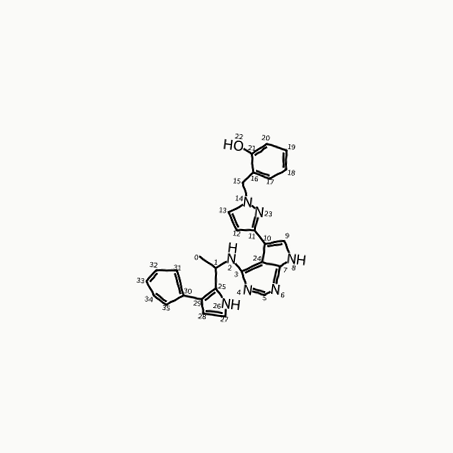 CC(Nc1ncnc2[nH]cc(-c3ccn(Cc4ccccc4O)n3)c12)c1[nH]ccc1-c1ccccc1